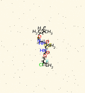 C=C/C(C)=C\C(=C)COSN1CC1CNC(=O)C(=C)CCNC(=O)CO/C=C/C=C(/Cl)C(=C)F.S